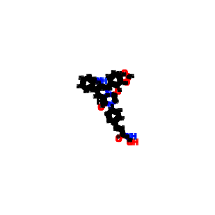 O=C(/C=C/c1ccc(N2CC(=O)N3C(c4ccc5c(c4)OCO5)c4[nH]c5ccccc5c4C[C@H]3C2=O)cc1)NO